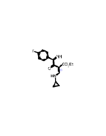 CCOC(=O)/C(=C/NC1CC1)C(=O)C(=N)c1ccc(F)cc1